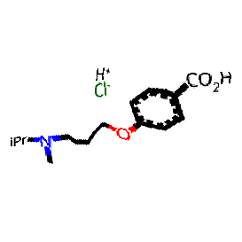 CC(C)N(C)CCCOc1ccc(C(=O)O)cc1.[Cl-].[H+]